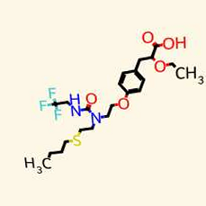 CCCCSCCN(CCOc1ccc(CC(OCC)C(=O)O)cc1)C(=O)NCC(F)(F)F